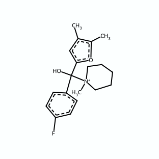 Cc1cc(C(O)(c2ccc(F)cc2)[N+]2(C)CCCCC2)oc1C